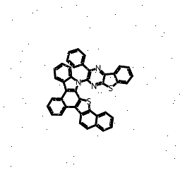 c1ccc(-c2nc3c(nc2-n2c4ccccc4c4c5ccccc5c5c6ccc7ccccc7c6sc5c42)sc2ccccc23)cc1